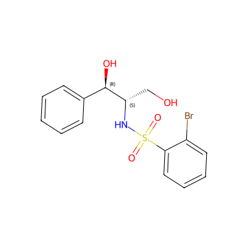 O=S(=O)(N[C@@H](CO)[C@H](O)c1ccccc1)c1ccccc1Br